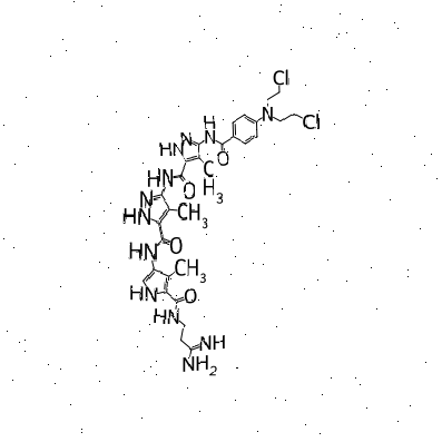 Cc1c(NC(=O)c2[nH]nc(NC(=O)c3[nH]nc(NC(=O)c4ccc(N(CCCl)CCCl)cc4)c3C)c2C)c[nH]c1C(=O)NCCC(=N)N